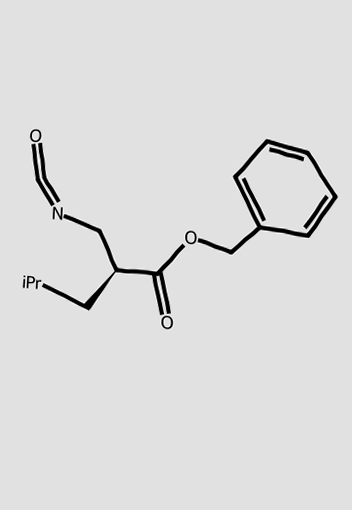 CC(C)C[C@@H](CN=C=O)C(=O)OCc1ccccc1